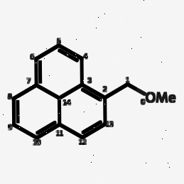 COCC1=C2C=CC=C3C=CC=C(C=C1)C32